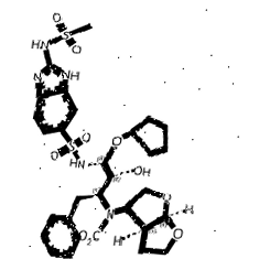 CS(=O)(=O)Nc1nc2ccc(S(=O)(=O)N[C@H](OC3CCCC3)[C@H](O)[C@H](Cc3ccccc3)N(C(=O)O)C3CO[C@H]4OCC[C@@H]34)cc2[nH]1